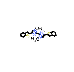 Cn1cc(-c2cc3ccccc3s2)nc1-c1nc(-c2cc3ccccc3s2)cn1C